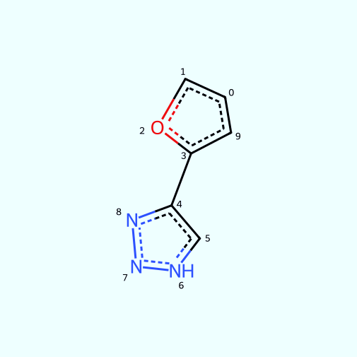 c1coc(-c2c[nH]nn2)c1